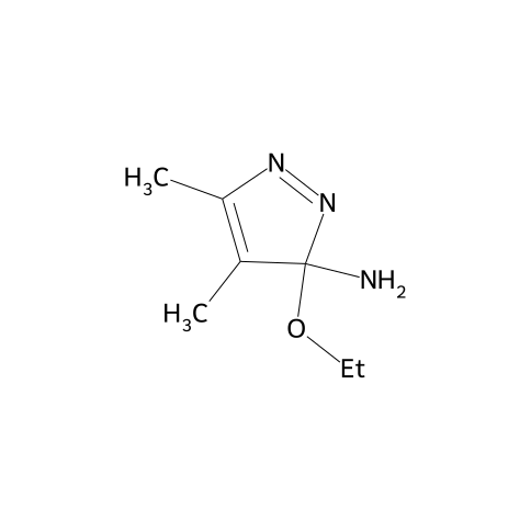 CCOC1(N)N=NC(C)=C1C